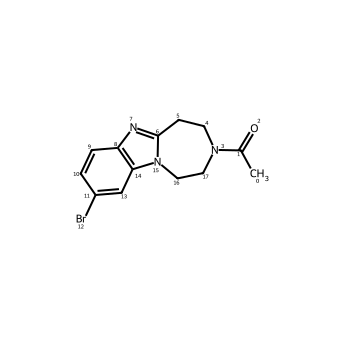 CC(=O)N1CCc2nc3ccc(Br)cc3n2CC1